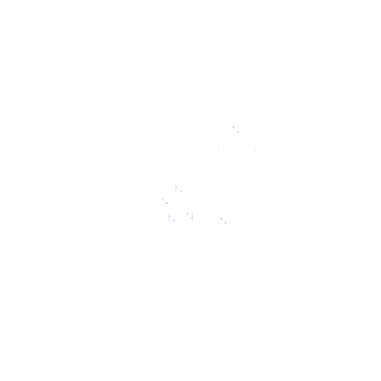 CNS(=O)(=O)c1ccc(NC2CCCCC2)c(-c2nnn(Cc3ccccc3C)n2)c1